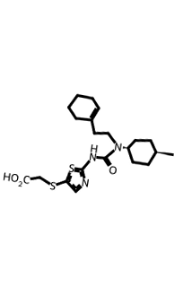 C[C@H]1CC[C@H](N(CCC2=CCCCC2)C(=O)Nc2ncc(SCC(=O)O)s2)CC1